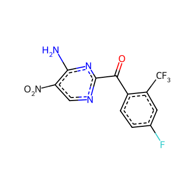 Nc1nc(C(=O)c2ccc(F)cc2C(F)(F)F)ncc1[N+](=O)[O-]